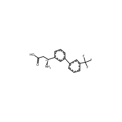 N[C@@H](CC(=O)O)c1cccc(-c2cccc(C(F)(F)F)c2)c1